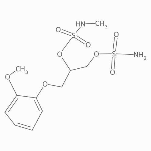 CNS(=O)(=O)OC(COc1ccccc1OC)COS(N)(=O)=O